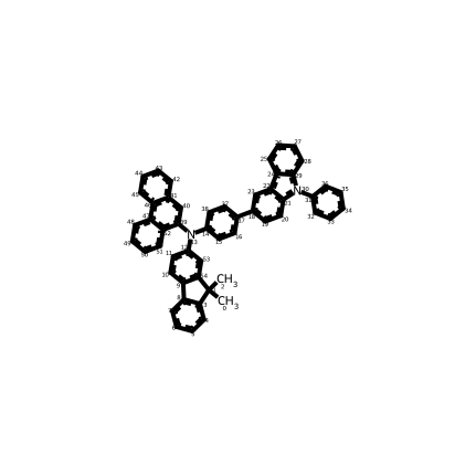 CC1(C)c2ccccc2-c2ccc(N(c3ccc(-c4ccc5c(c4)c4ccccc4n5-c4ccccc4)cc3)c3cc4ccccc4c4ccccc34)cc21